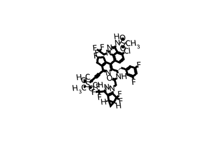 CC(C)(C#Cc1nc([C@H](Cc2cc(F)cc(F)c2)NC(=O)Cn2nc(C(F)(F)F)c3c2C(F)(F)[C@@H]2C[C@H]32)c(-c2ccc(Cl)c3c(NS(C)(=O)=O)nn(CC(F)(F)F)c23)c2c1C[C@@H](F)C2)S(C)(=O)=O